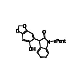 CCCCCN1C(=O)C(c2cc3c(cc2O)OCO3)c2ccccc21